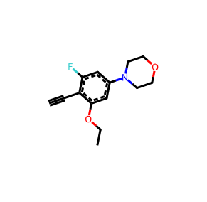 C#Cc1c(F)cc(N2CCOCC2)cc1OCC